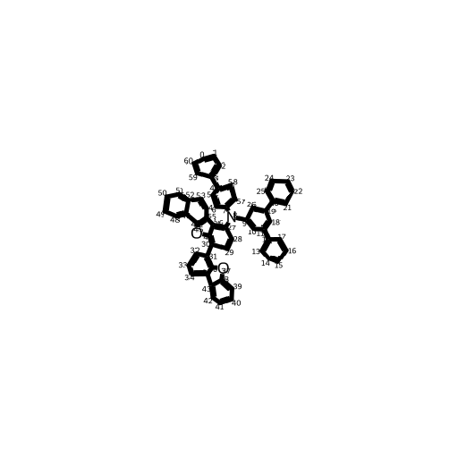 c1ccc(-c2ccc(N(c3cc(-c4ccccc4)cc(-c4ccccc4)c3)c3ccc(-c4cccc5c4oc4ccccc45)c4oc5c6ccccc6ccc5c34)cc2)cc1